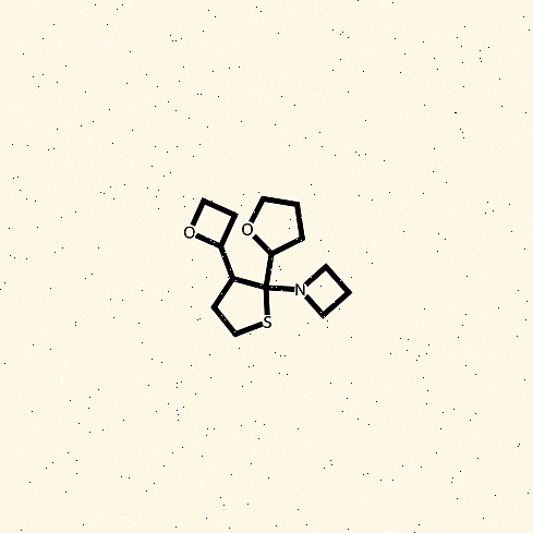 C1COC(C2(N3CCC3)SCCC2C2CCO2)C1